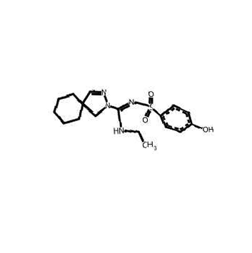 CCN/C(=N\S(=O)(=O)c1ccc(O)cc1)N1CC2(C=N1)CCCCC2